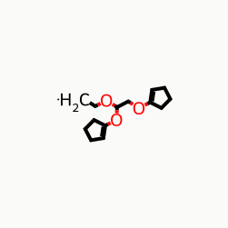 [CH2]COC(COC1=CCCC1)OC1=CCCC1